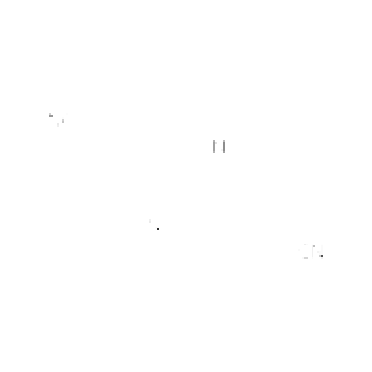 N#CCc1cnc(CC#N)cn1